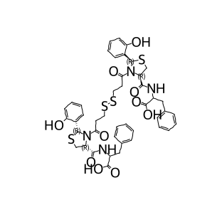 O=C(O)C(Cc1ccccc1)NC(=O)[C@@H]1CS[C@H](c2ccccc2O)N1C(=O)CCSSCCC(=O)N1[C@@H](c2ccccc2O)SC[C@H]1C(=O)NC(Cc1ccccc1)C(=O)O